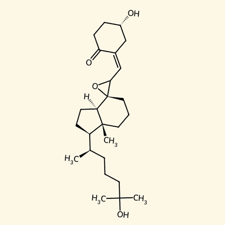 C[C@H](CCCC(C)(C)O)[C@H]1CC[C@@H]2[C@]1(C)CCC[C@]21OC1/C=C1/C[C@@H](O)CCC1=O